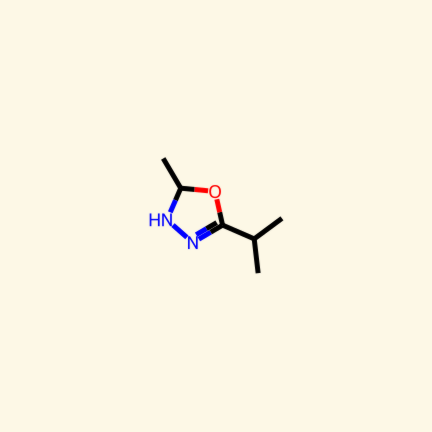 CC1NN=C(C(C)C)O1